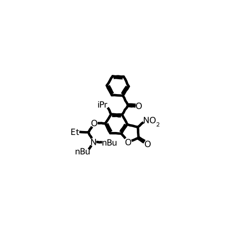 CCCCN(CCCC)C(CC)Oc1cc2c(c(C(=O)c3ccccc3)c1C(C)C)C([N+](=O)[O-])C(=O)O2